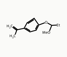 C=C(C)c1ccc(OC(CC)OC)cc1